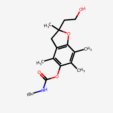 Cc1c(C)c2c(c(C)c1OC(=O)NC(C)(C)C)CC(C)(CCO)O2